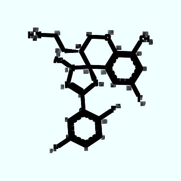 CC(=O)N1N=C(c2cc(F)ccc2F)S[C@@]12c1cc(F)cc(C)c1OC[C@H]2CCN